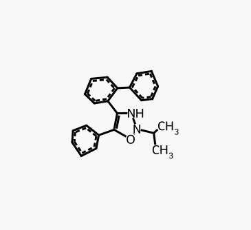 CC(C)N1NC(c2ccccc2-c2ccccc2)=C(c2ccccc2)O1